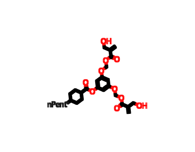 C=C(CO)C(=O)OCOc1cc(OCOC(=O)C(=C)CO)cc(OC(=O)C2CCC(CCCCC)CC2)c1